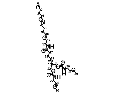 COCCCO/N=C/CCCOCCNC(=O)CCCOC(COC(=O)NCCOC)COC(=O)NCCOC